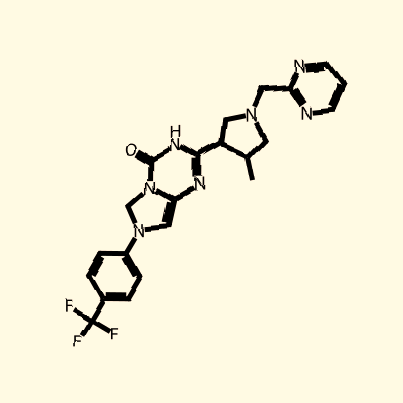 CC1CN(Cc2ncccn2)CC1C1=NC2=CN(c3ccc(C(F)(F)F)cc3)CN2C(=O)N1